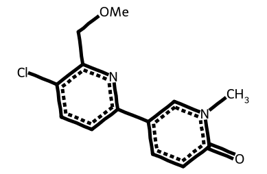 COCc1nc(-c2ccc(=O)n(C)c2)ccc1Cl